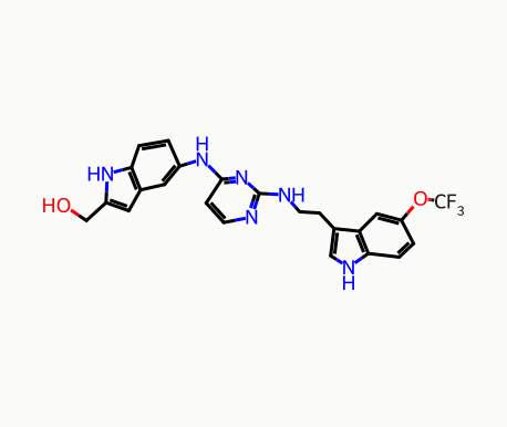 OCc1cc2cc(Nc3ccnc(NCCc4c[nH]c5ccc(OC(F)(F)F)cc45)n3)ccc2[nH]1